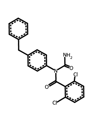 NC(=O)N(C(=O)c1c(Cl)cccc1Cl)c1ccc(Cc2ccccc2)cc1